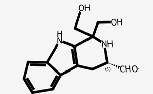 O=[C][C@@H]1Cc2c([nH]c3ccccc23)C(CO)(CO)N1